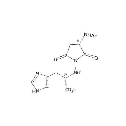 CC(=O)N[C@H]1CC(=O)N(N[C@@H](Cc2c[nH]cn2)C(=O)O)C1=O